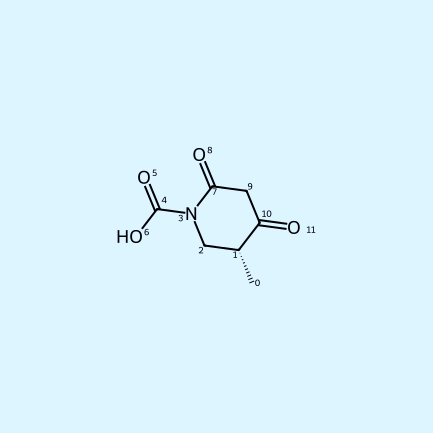 C[C@@H]1CN(C(=O)O)C(=O)CC1=O